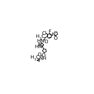 CC(C(=O)Nc1cc(C2CC[C@H](OC(=O)NC3(C)CC3)C2)[nH]n1)c1ccc(N2CCCC2=O)c(F)c1Cl